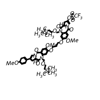 COc1cc2c(cc1OCCCOc1cc3c(cc1OC)C(=O)N1C=C(C4=CCC(OC)C=C4)C[C@H]1C(=O)N3COCC[Si](C)(C)C)N(COCC[Si](C)(C)C)C(=O)[C@@H]1CC(OS(=O)(=O)C(F)(F)F)=CN1C2=O